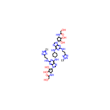 CCn1nnc(CCNc2nc(N[C@H]3CC[C@H](Nc4nc(NCCc5nnn(CC)n5)nc5c4ncn5[C@@H]4C[C@H](NC(=O)CO)[C@@H](O)[C@H]4O)CC3)c3ncn([C@@H]4C[C@H](NC(=O)CO)[C@@H](O)[C@H]4O)c3n2)n1